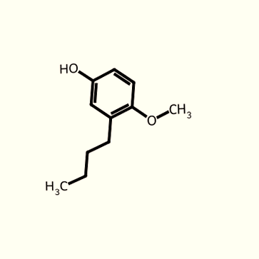 CCCCc1cc(O)ccc1OC